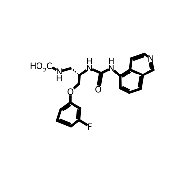 O=C(O)NC[C@@H](COc1cccc(F)c1)NC(=O)Nc1cccc2cnccc12